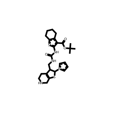 CC(C)(C)OC(=O)c1c(NC(=O)NCC2C3=C(CNCC3)SC2n2cccc2)sc2c1CCCC2